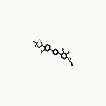 C=CCOc1ccc(-c2ccc(-c3ccc(C4COC(C)OC4)c(F)c3)cc2)c(F)c1F